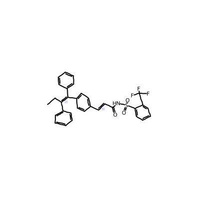 CC/C(=C(\c1ccccc1)c1ccc(/C=C/C(=O)NS(=O)(=O)c2ccccc2C(F)(F)F)cc1)c1ccccc1